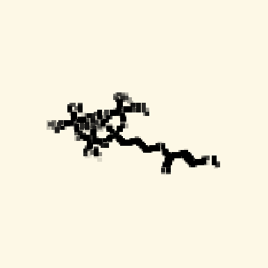 CC=CC(=O)OCCC[Si](C)(O[Si](C)(C)C)O[Si](C)(C)O[Si](C)(C)C